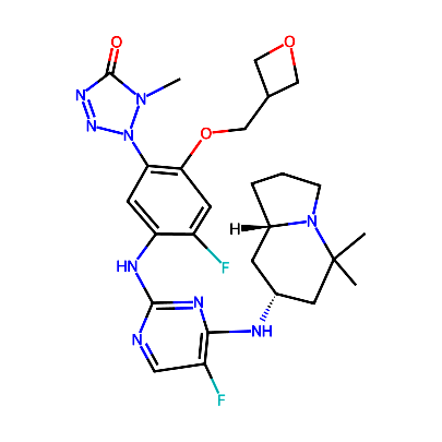 Cn1c(=O)nnn1-c1cc(Nc2ncc(F)c(N[C@@H]3C[C@@H]4CCCN4C(C)(C)C3)n2)c(F)cc1OCC1COC1